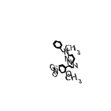 COc1cc([N+](=O)[O-])ccc1-c1cnc2ccc(N(C)Cc3ccccc3)nn12